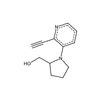 [C]#Cc1ncccc1N1CCCC1CO